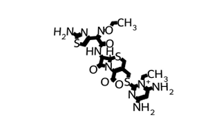 CCO/N=C(\C(=O)NC1C(=O)N2C(C(=O)[O-])=C(CSc3nc(N)cc(N)[n+]3CC)CS[C@H]12)c1csc(N)n1